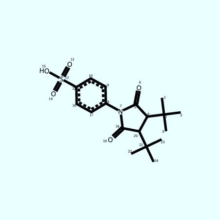 CC(C)(C)C1C(=O)N(c2ccc(S(=O)(=O)O)cc2)C(=O)C1C(C)(C)C